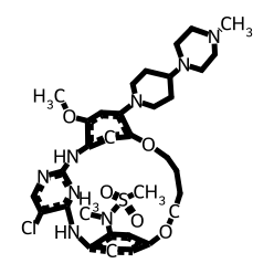 COc1cc(N2CCC(N3CCN(C)CC3)CC2)c2cc1Nc1ncc(Cl)c(n1)Nc1ccc(cc1N(C)S(C)(=O)=O)OCCCCO2